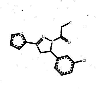 O=C(CCl)N1N=C(c2ccco2)CC1c1cccc(Cl)c1